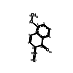 COc1cccc2c1C=CC(=[N+]=[N-])C2=O